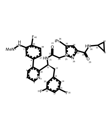 CNNc1cc(-c2cccnc2[C@H](Cc2cc(F)cc(F)c2)NC(=O)Cn2nc(C(=O)NC3CC3)cc2C(C)C)ccc1F